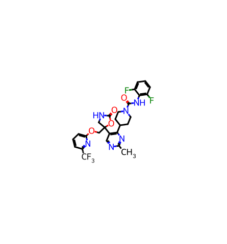 Cc1ncc(C2(COc3cccc(C(F)(F)F)n3)CNC(=O)O2)c(C2CCN(C(=O)Nc3c(F)cccc3F)CC2)n1